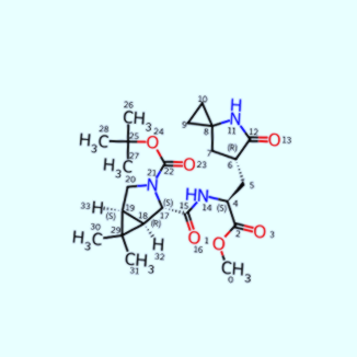 COC(=O)[C@H](C[C@@H]1CC2(CC2)NC1=O)NC(=O)[C@@H]1[C@@H]2[C@H](CN1C(=O)OC(C)(C)C)C2(C)C